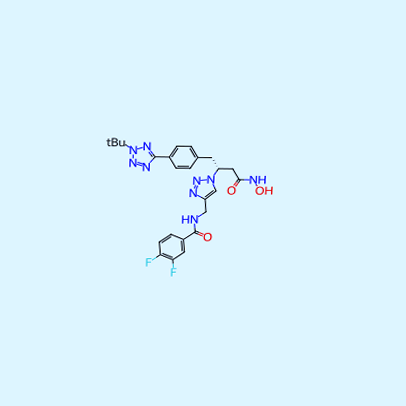 CC(C)(C)n1nnc(-c2ccc(C[C@H](CC(=O)NO)n3cc(CNC(=O)c4ccc(F)c(F)c4)nn3)cc2)n1